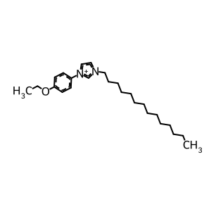 CCCCCCCCCCCCCCn1cc[n+](-c2ccc(OCC)cc2)c1